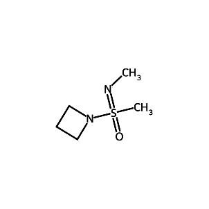 CN=S(C)(=O)N1CCC1